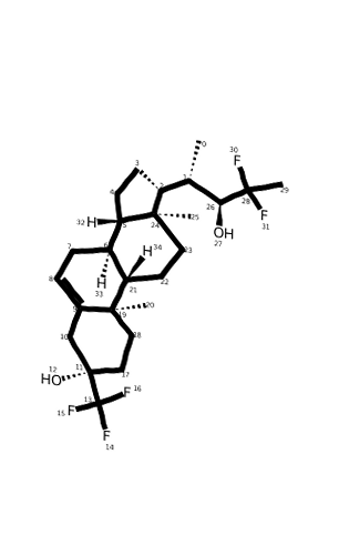 C[C@@H]([C@H]1CC[C@H]2[C@@H]3CC=C4C[C@](O)(C(F)(F)F)CC[C@]4(C)[C@H]3CC[C@]12C)[C@H](O)C(C)(F)F